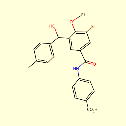 CCOc1c(Br)cc(C(=O)Nc2ccc(C(=O)O)cc2)cc1C(O)c1ccc(C)cc1